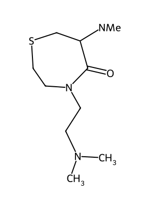 CNC1CSCCN(CCN(C)C)C1=O